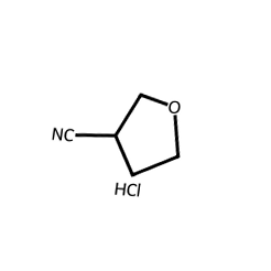 Cl.N#CC1CCOC1